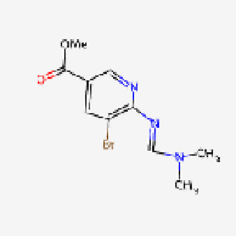 COC(=O)c1cnc(N=CN(C)C)c(Br)c1